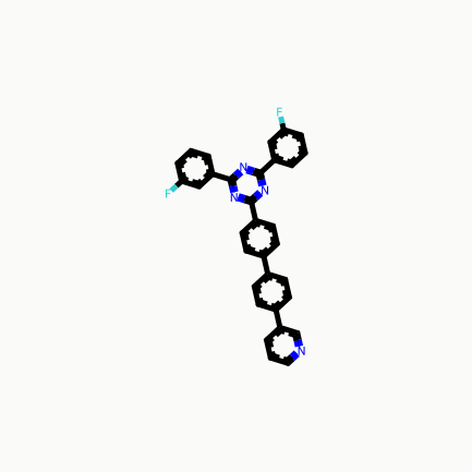 Fc1cccc(-c2nc(-c3ccc(-c4ccc(-c5cccnc5)cc4)cc3)nc(-c3cccc(F)c3)n2)c1